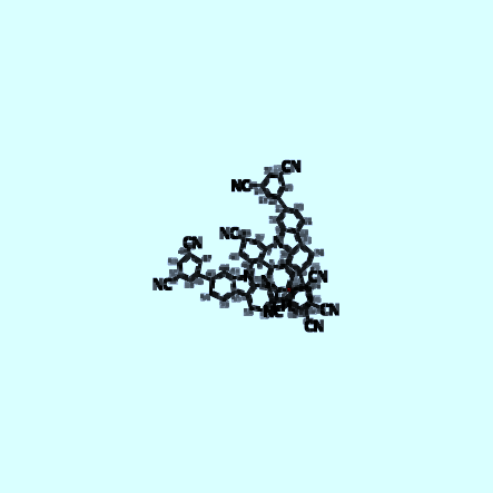 Cc1cccc(-c2c(-n3c4cc(-c5cc(C#N)cc(C#N)c5)ccc4c4ccc(-c5cc(C#N)cc(C#N)c5)cc43)cc(C#N)cc2-n2c3cc(-c4cc(C#N)cc(C#N)c4)ccc3c3ccc(-c4cc(C#N)cc(C#N)c4)cc32)n1